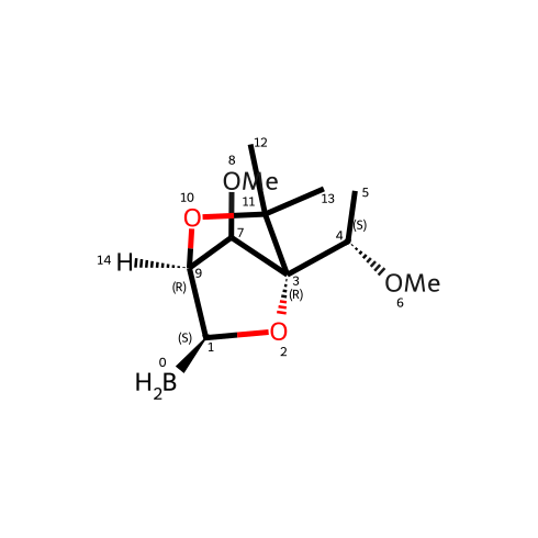 B[C@@H]1O[C@]2([C@H](C)OC)C(OC)[C@@H]1OC2(C)C